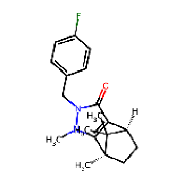 Cn1c2c(c(=O)n1Cc1ccc(F)cc1)[C@H]1CC[C@]2(C)C1(C)C